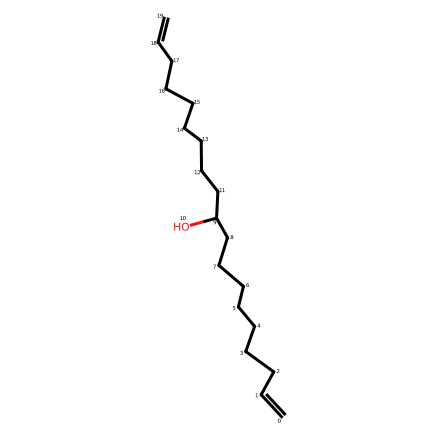 C=CCCCCCCCC(O)CCCCCCCC=C